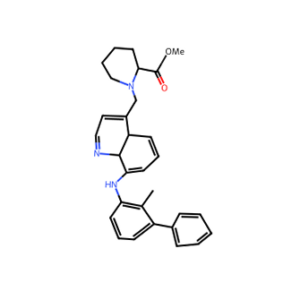 COC(=O)C1CCCCN1CC1=CC=NC2C(Nc3cccc(-c4ccccc4)c3C)=CC=CC12